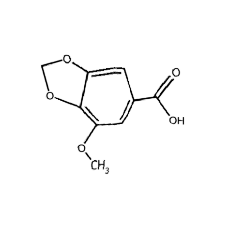 COc1cc(C(=O)O)cc2c1OCO2